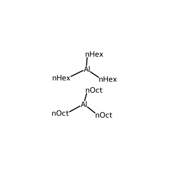 CCCCCCC[CH2][Al]([CH2]CCCCCCC)[CH2]CCCCCCC.CCCCC[CH2][Al]([CH2]CCCCC)[CH2]CCCCC